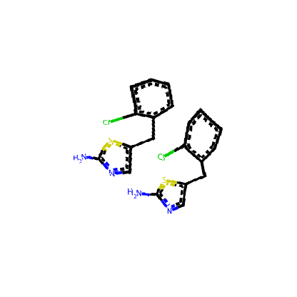 Nc1ncc(Cc2ccccc2Cl)s1.Nc1ncc(Cc2ccccc2Cl)s1